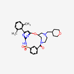 Cc1cccc(C)c1-c1cc2nc(n1)NS(=O)(=O)c1cccc(c1)C(=O)N1CCN(CC3CCOCC3)CC(C1)O2